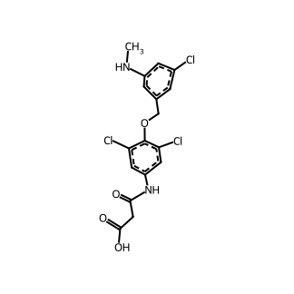 CNc1cc(Cl)cc(COc2c(Cl)cc(NC(=O)CC(=O)O)cc2Cl)c1